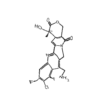 C[C@@]1(O)C(=O)OCc2c1cc1n(c2=O)Cc2c-1nc1cc(F)c(Cl)c(F)c1c2CN